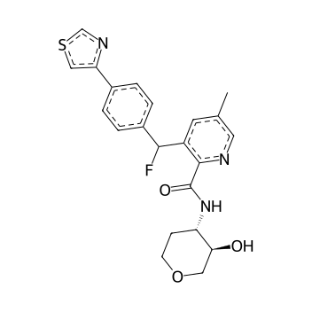 Cc1cnc(C(=O)N[C@H]2CCOC[C@@H]2O)c(C(F)c2ccc(-c3cscn3)cc2)c1